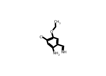 CCOc1cc(C=N)c(N)cc1Cl